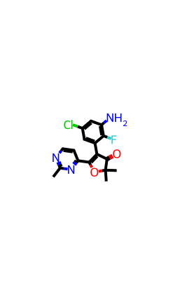 Cc1nccc(C2=C(c3cc(Cl)cc(N)c3F)C(=O)C(C)(C)O2)n1